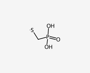 O=P(O)(O)C[S]